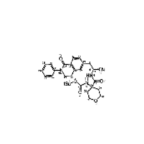 CC(C)(C)OC(=O)NC1(C(=O)N[C@H](C#N)Cc2ccc3c(c2)CCN(c2ccccc2)C3=O)CCOCC1